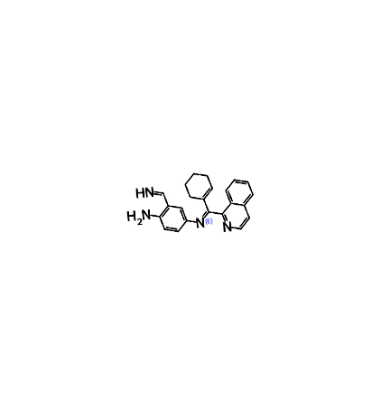 N=Cc1cc(/N=C(\C2=CCCCC2)c2nccc3ccccc23)ccc1N